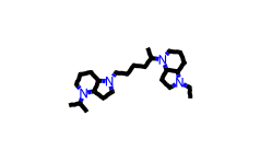 CCN1CCC2C1CCCN2C(C)CCCCN1CCC2C1CCCN2C(C)C